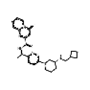 CC(NC(=S)c1cc(=O)n2ccccc2n1)c1ccc(N2CCC[C@@H](NCC3CCC3)C2)nn1